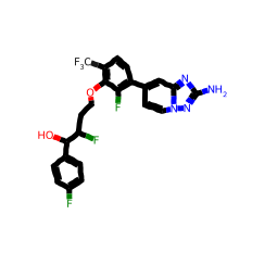 Nc1nc2cc(-c3ccc(C(F)(F)F)c(OCCC(F)C(O)c4ccc(F)cc4)c3F)ccn2n1